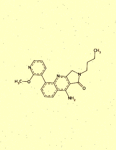 CCCCN1Cc2nc3c(-c4cccnc4OC)cccc3c(N)c2C1=O